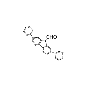 O=CC1c2cc(-c3ccccc3)ccc2-c2ccc(-c3ccccc3)cc21